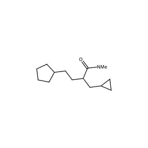 CNC(=O)C(CCC1CCCC1)CC1CC1